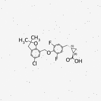 CC1(C)Cc2cc(Cl)cc(COc3c(F)cc(C[C@@H]4C[C@H]4C(=O)O)cc3F)c2O1